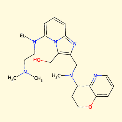 CCN(CCN(C)C)c1cccc2nc(CN(C)C3CCOc4cccnc43)c(CO)n12